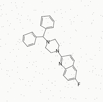 Fc1ccc2nc(N3CCN(C(c4ccccc4)c4ccccc4)CC3)[c]cc2c1